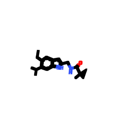 CCc1cc2cc(CNC(=O)C3(C)CC3)[nH]c2cc1C(C)C